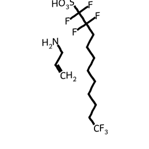 C=CCN.O=S(=O)(O)C(F)(F)C(F)(F)CCCCCCCCC(F)(F)F